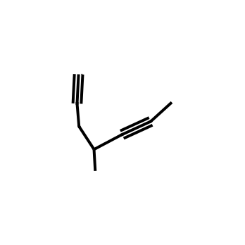 [C]#CCC(C)C#CC